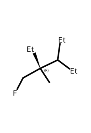 CCC(CC)[C@@](C)(CC)CF